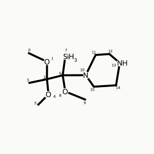 COC(C)(OC)C([SiH3])(OC)N1CCNCC1